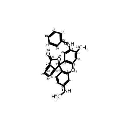 CNc1ccc2c(c1)Oc1cc(C)c(Nc3ccccc3)cc1C21OC(=O)c2ccccc21